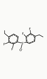 CCc1ccc([S+]([O-])c2ccc(CC)c(F)c2F)c(F)c1F